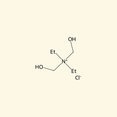 CC[N+](CC)(CO)CO.[Cl-]